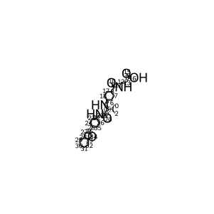 CC(C)[C@H](Nc1ccc(C(=O)NCCC(=O)O)cc1)C(=O)Nc1ccc(-c2cc3ccccc3o2)cc1